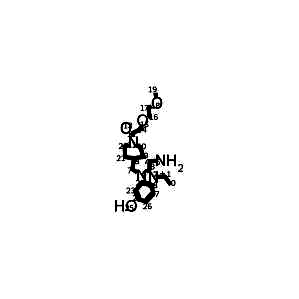 CC[n+]1c(CN)n(CC2CCN(C(=O)COCCOC)CC2)c2cc(O)ccc21